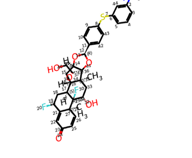 CC(C)Nc1cccc(Sc2ccc([C@@H]3O[C@@H]4C[C@H]5[C@@H]6C[C@H](F)C7=CC(=O)C=C[C@]7(C)[C@@]6(F)[C@@H](O)C[C@]5(C)[C@]4(C(=O)CO)O3)cc2)c1